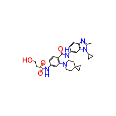 Cc1nc2ccc(NC(=O)c3ccc(NS(=O)(=O)CCO)cc3N3CCC4(CC3)CC4)cc2n1C1CC1